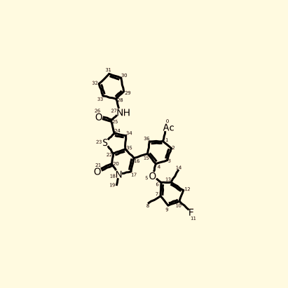 CC(=O)c1ccc(Oc2c(C)cc(F)cc2C)c(-c2cn(C)c(=O)c3sc(C(=O)Nc4ccccc4)cc23)c1